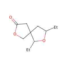 CCC1CC2(COC(=O)C2)C(CC)O1